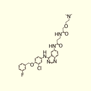 CN(C)CCOCC(=O)NCCC(=O)Nc1ccc2ncnc(Nc3ccc(OCc4cccc(F)c4)c(Cl)c3)c2c1